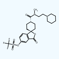 CN(CCN1CCCCC1)C(=O)[C@H]1CC[C@@]2(CC1)OC(=O)c1cc(OS(=O)(=O)C(F)(F)F)ccc12